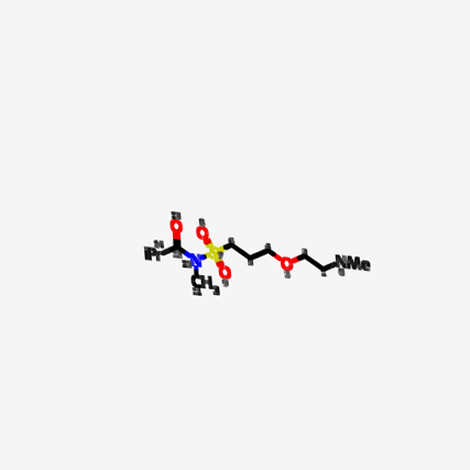 CNCCOCCCS(=O)(=O)N(C)C(=O)C(C)C